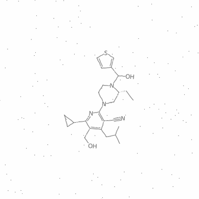 CC[C@@H]1CN(c2nc(C3CC3)c(CO)c(CC(C)C)c2C#N)CCN1C(O)c1ccsc1